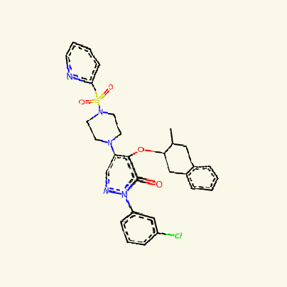 CC1Cc2ccccc2CC1Oc1c(N2CCN(S(=O)(=O)c3ccccn3)CC2)cnn(-c2cccc(Cl)c2)c1=O